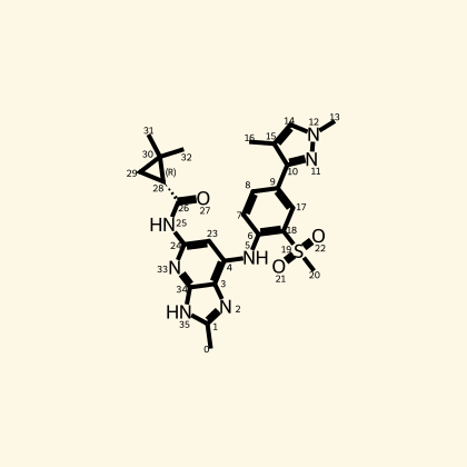 Cc1nc2c(Nc3ccc(-c4nn(C)cc4C)cc3S(C)(=O)=O)cc(NC(=O)[C@@H]3CC3(C)C)nc2[nH]1